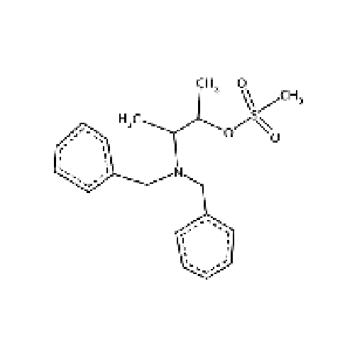 CC(OS(C)(=O)=O)C(C)N(Cc1ccccc1)Cc1ccccc1